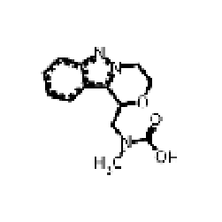 CN(CC1OCCn2nc3ccccc3c21)C(=O)O